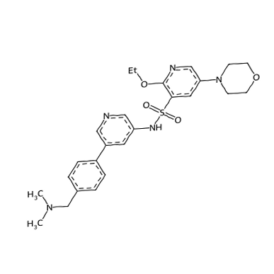 CCOc1ncc(N2CCOCC2)cc1S(=O)(=O)Nc1cncc(-c2ccc(CN(C)C)cc2)c1